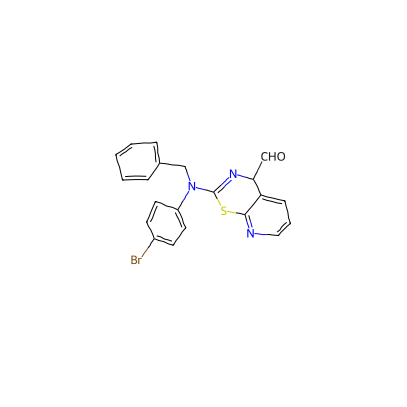 O=CC1N=C(N(Cc2ccccc2)c2ccc(Br)cc2)Sc2ncccc21